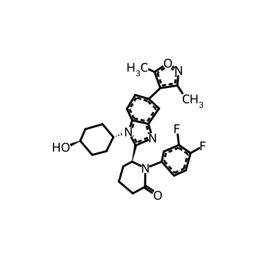 Cc1noc(C)c1-c1ccc2c(c1)nc([C@@H]1CCCC(=O)N1c1ccc(F)c(F)c1)n2[C@H]1CC[C@H](O)CC1